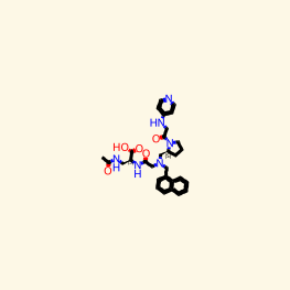 CC(=O)NC[C@H](NC(=O)CN(Cc1cccc2ccccc12)C[C@@H]1CCCN1C(=O)CNc1ccncc1)C(=O)O